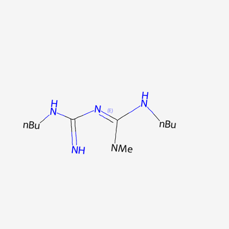 CCCCNC(=N)/N=C(\NC)NCCCC